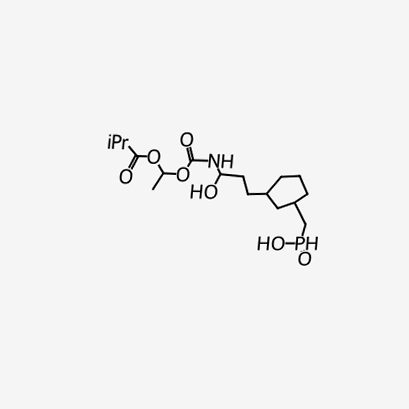 CC(OC(=O)NC(O)CCC1CCCC(C[PH](=O)O)C1)OC(=O)C(C)C